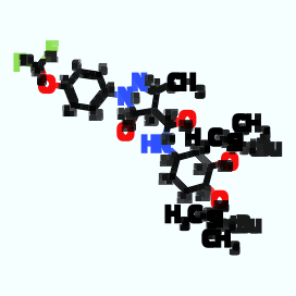 CC1=NN(c2ccc(OC(F)F)cc2)C(=O)C1C(=O)NC1CCC(O[Si](C)(C)C(C)(C)C)C(O[Si](C)(C)C(C)(C)C)C1